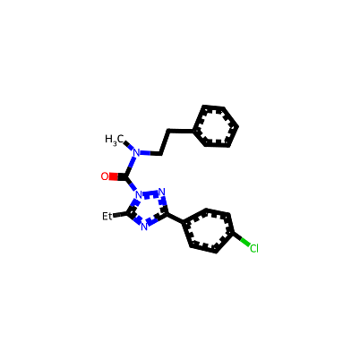 CCc1nc(-c2ccc(Cl)cc2)nn1C(=O)N(C)CCc1ccccc1